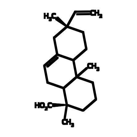 C=C[C@]1(C)CCC2C(=CCC3C2(C)CCC[C@@]3(C)C(=O)O)C1